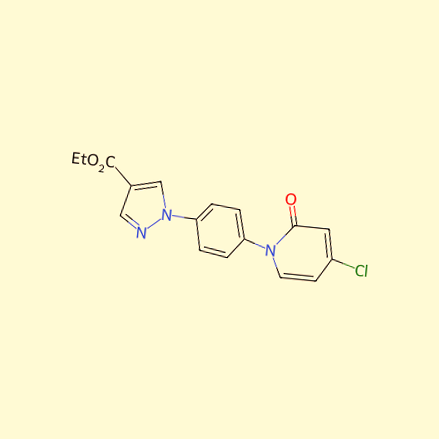 CCOC(=O)c1cnn(-c2ccc(-n3ccc(Cl)cc3=O)cc2)c1